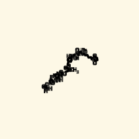 CC(C)C(NC(=O)CCCCCN1C(=O)C=CC1=O)C(=O)NCC(=O)Nc1ccc(COC(=O)N(C)CCOC(=O)Nc2ncnc3c2ncn3[C@@H]2O[C@H](CO[PH](=O)O)C[C@H]2F)cc1